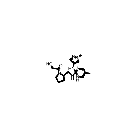 CC1=CNC(NCC2CCCN2C(=O)CC#N)(Nc2cnn(C)c2)N=C1